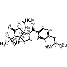 CCCCN(CCCC)Cc1cnc(C(=O)N2CC[C@H]3[C@H]2[C@@H](C(C)C)C(=O)N3S(C)(=O)=O)cn1.Cl